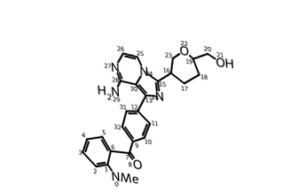 CNc1ccccc1C(=O)c1ccc(-c2nc(C3CCC(CO)OC3)n3ccnc(N)c23)cc1